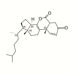 CC(C)CCC[C@H](C)[C@H]1CC[C@H]2C3=C(CC[C@]12C)[C@@]1(C)C=CC(=O)CC1C(=O)O3